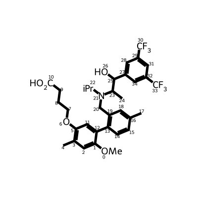 COc1cc(C)c(OCCCC(=O)O)cc1-c1ccc(C)cc1CN(C(C)C)C(C)C(O)c1cc(C(F)(F)F)cc(C(F)(F)F)c1